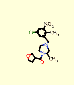 Cc1c(CN2CCN(C(=O)C3CCOC3)C(C)C2)cc(Cl)cc1[N+](=O)[O-]